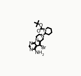 CC(C)(C)OC(=O)N1CCCCC1N1CCn2c(c(Br)c3c(N)ncnc32)C1